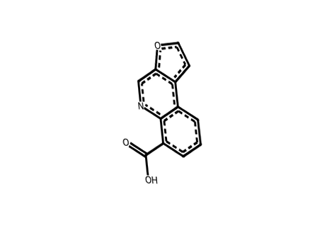 O=C(O)c1cccc2c1ncc1occc12